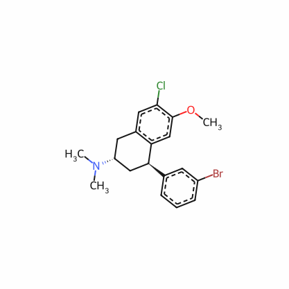 COc1cc2c(cc1Cl)C[C@@H](N(C)C)C[C@@H]2c1cccc(Br)c1